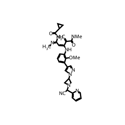 C=C(C(=O)NC)/C(=C\C(=N/C)NC(=O)C1CC1)Nc1cccc(-c2cnn(C3CN(C(C#N)c4ccccn4)C3)c2)c1OC